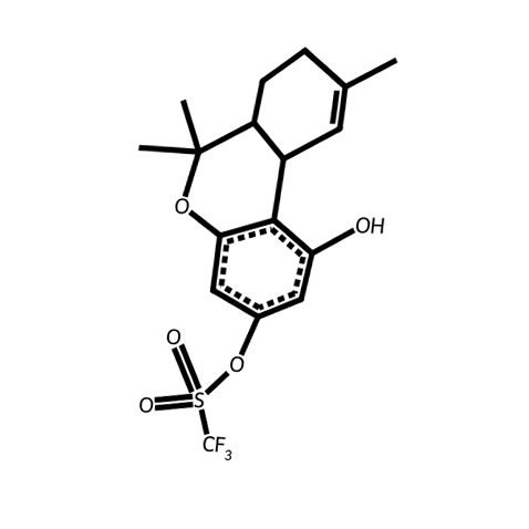 CC1=CC2c3c(O)cc(OS(=O)(=O)C(F)(F)F)cc3OC(C)(C)C2CC1